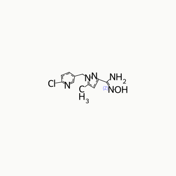 Cc1cc(/C(N)=N/O)nn1Cc1ccc(Cl)nc1